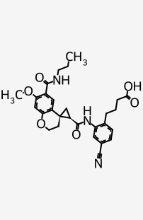 CCCNC(=O)c1cc2c(cc1OC)OCC[C@]21C[C@H]1C(=O)Nc1cc(C#N)ccc1CCCC(=O)O